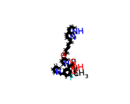 COc1c(F)cc(CN2CCCC2)cc1[C@@H](C(=O)O)N1CC[C@@H](OCCCCCc2ccc3c(n2)NCCC3)C1